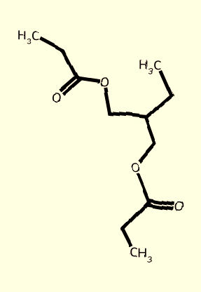 CCC(=O)OCC(CC)COC(=O)CC